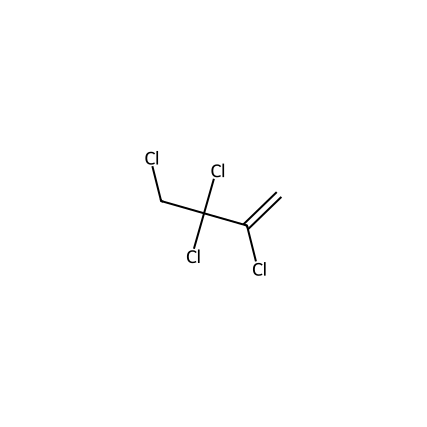 C=C(Cl)C(Cl)(Cl)CCl